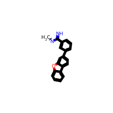 C=NC(=N)c1cccc(-c2ccc3c(c2)oc2ccccc23)c1